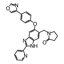 O=C1CCCN1Cc1cc2[nH]c(-c3ccccn3)nc2cc1Oc1ccc(-c2cocn2)cc1